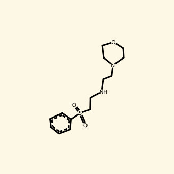 O=S(=O)(CCNCCN1CCOCC1)c1ccccc1